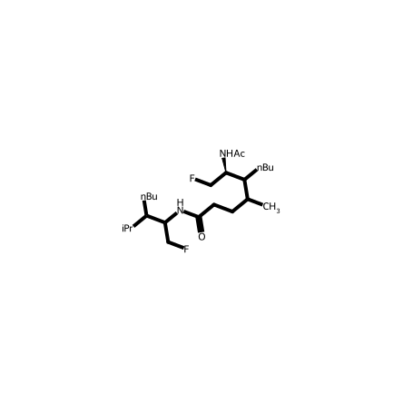 CCCCC(C(C)C)C(CF)NC(=O)CCC(C)C(CCCC)[C@@H](CF)NC(C)=O